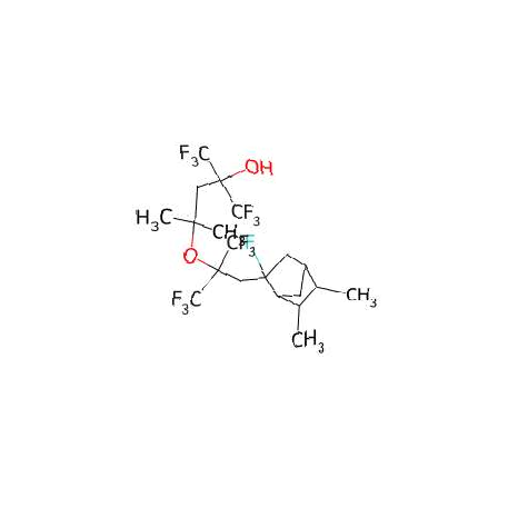 CC1C2CC(C1C)C(F)(CC(OC(C)(C)CC(O)(C(F)(F)F)C(F)(F)F)(C(F)(F)F)C(F)(F)F)C2